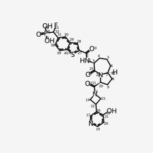 O=C(N[C@H]1CCC[C@H]2CC[C@@H](C(=O)N3CC(c4cnccc4O)C3)N2C1=O)c1cc2cc(C(F)P(=O)(O)O)ccc2s1